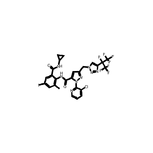 Cc1cc(I)cc(C(=O)NC2CC2)c1NC(=O)c1cc(Cn2cc(C(F)(C(F)(F)F)C(F)(F)F)nn2)nn1-c1ncccc1Cl